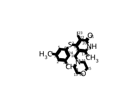 Cc1cc(C)cc(Sc2c(CN3CCOCC3)c(C)[nH]c(=O)c2I)c1